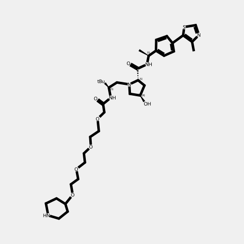 Cc1ncsc1-c1ccc([C@H](C)NC(=O)[C@@H]2C[C@@H](O)CN2C[C@@H](NC(=O)COCCOCCOCCOC2CCNCC2)C(C)(C)C)cc1